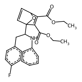 CCOC(=O)C1=C(C(=O)OCC)C2(C(Cc3ccc(F)cc3)Nc3ccccc3)C=CC1O2